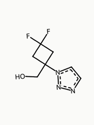 OCC1(n2ccnn2)CC(F)(F)C1